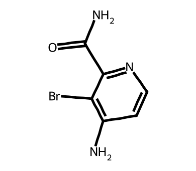 NC(=O)c1nccc(N)c1Br